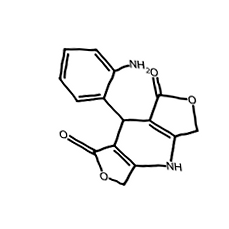 Nc1ccccc1C1C2=C(COC2=O)NC2=C1C(=O)OC2